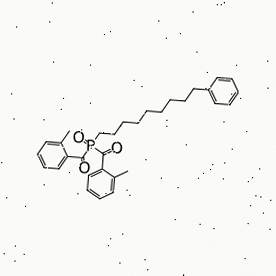 Cc1ccccc1C(=O)P(=O)(CCCCCCCCCc1ccccc1)C(=O)c1ccccc1C